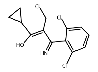 N=C(/C(CCl)=C(\O)C1CC1)c1c(Cl)cccc1Cl